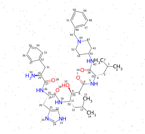 CC(C)C[C@H](NC(=O)C[C@H](O)[C@H](CC(C)C)NC(=O)[C@H](Cc1c[nH]cn1)NC(=O)[C@@H](N)Cc1ccccc1)C(=O)NC1CCN(Cc2ccccc2)CC1